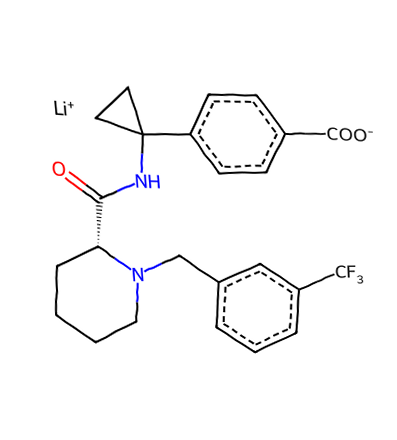 O=C([O-])c1ccc(C2(NC(=O)[C@H]3CCCCN3Cc3cccc(C(F)(F)F)c3)CC2)cc1.[Li+]